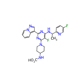 CC(Nc1nc(-c2cnn3ccccc23)nc(N2CCC(NC(=O)O)CC2)c1F)c1ccc(F)cn1